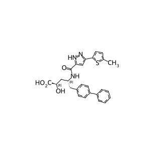 Cc1ccc(-c2cc(C(=O)N[C@H](Cc3ccc(-c4ccccc4)cc3)C[C@@H](O)C(=O)O)[nH]n2)s1